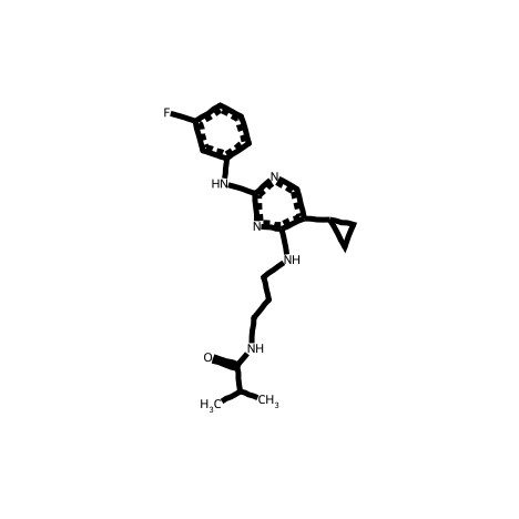 CC(C)C(=O)NCCCNc1nc(Nc2cccc(F)c2)ncc1C1CC1